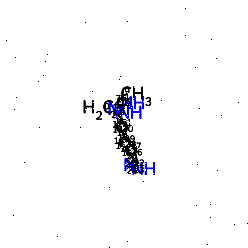 C=N/C=C(\NC1CC[C@H](C)N1)c1ccc(-c2ccc3cc(-c4c[nH]cn4)ccc3c2)cc1